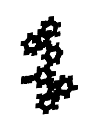 N#Cc1cc(-c2cccc(-n3c4c(c5c3CCC=C5)CCC=C4)c2)cc(-n2c3c(c4ccccc42)CCC=C3)c1